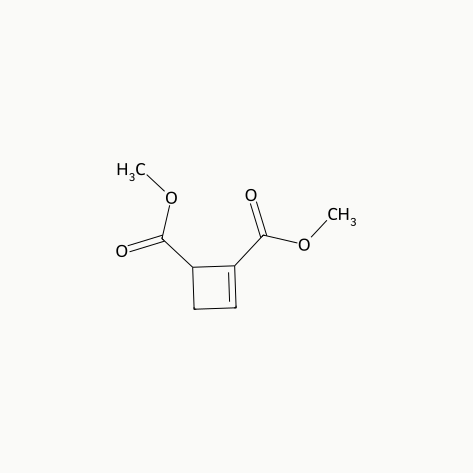 COC(=O)C1=CCC1C(=O)OC